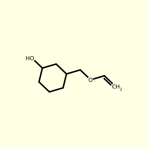 C=COCC1CCCC(O)C1